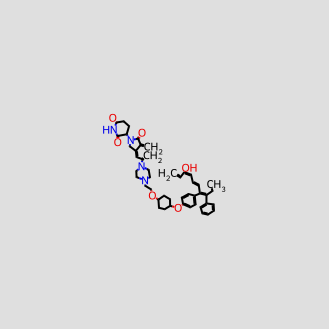 C=C\C(O)=C/C=C/C(=C(\CC)c1ccccc1)c1ccc(OC2CCC(OCCN3CCN(C(=C)/C=C4/CN(C5CCC(=O)NC5=O)C(=O)C4=C)CC3)CC2)cc1